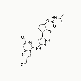 COCc1cn2c(Nc3cc([C@H]4CC[C@@H](OC(=O)NC(C)C)[C@H]4F)[nH]n3)nc(Cl)cc2n1